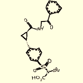 CC(C)(C)N(C(=O)O)S(=O)(=O)c1ccc([C@@H]2C[C@H]2C(=O)NCC(=O)c2ccccc2)cc1